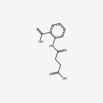 C=C(O)c1ccccc1NC(=O)CCC(=O)O